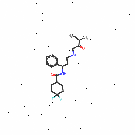 CC(C)C(=O)CNCCC(NC(=O)C1CCC(F)(F)CC1)c1ccccc1